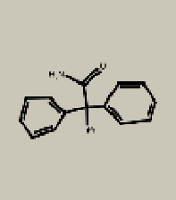 CC(C)C(C(N)=O)(c1ccccc1)c1ccccc1